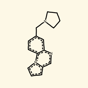 c1cc2cnc3cc(CN4CCCC4)ccc3n2c1